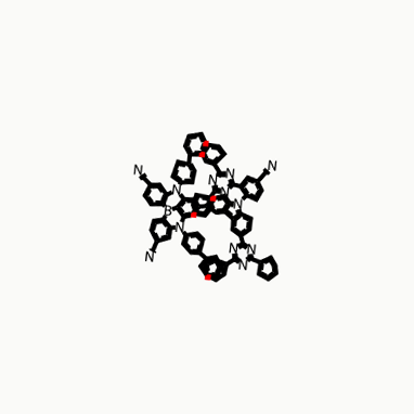 N#Cc1ccc(-n2c3ccc(-c4cc5c6c(c4)N(c4ccc(-c7ccccc7)cc4)c4cc(C#N)ccc4B6c4ccc(C#N)cc4N5c4ccc(-c5ccccc5)cc4)cc3c3cc(-c4nc(-c5ccccc5)nc(-c5ccccc5)n4)ccc32)c(-c2nc(-c3ccccc3)nc(-c3ccccc3)n2)c1